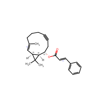 C/C1=C\[C@H]2[C@@H]([C@@H](OC(=O)/C=C/c3ccccc3)CC#CCCC1)C2(C)C